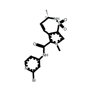 C[C@H]1C=Cc2c(cn(C)c2C(=O)Nc2ccnc(Br)c2)S(=O)(=O)N1